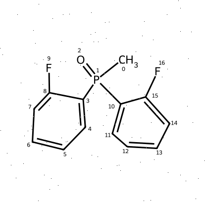 CP(=O)(c1ccccc1F)c1ccccc1F